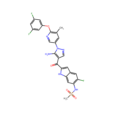 Cc1cc(-n2ncc(C(=O)c3cc4cc(F)c(NS(C)(=O)=O)cc4[nH]3)c2N)cnc1Oc1cc(F)cc(F)c1